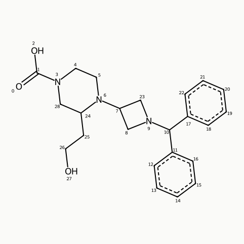 O=C(O)N1CCN(C2CN(C(c3ccccc3)c3ccccc3)C2)C(CCO)C1